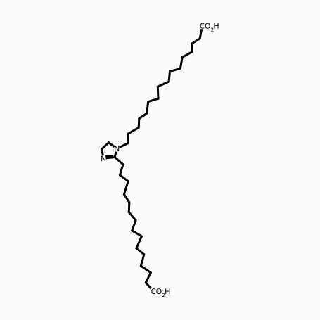 O=C(O)CCCCCCCCCCCCCCCN1CCN=C1CCCCCCCCCCCCCCC(=O)O